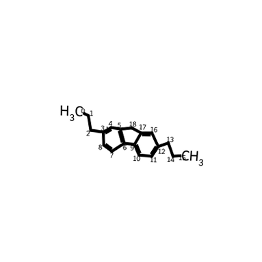 CCCc1[c]c2c(cc1)-c1ccc(CCC)cc1C2